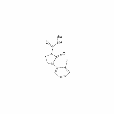 CC(C)(C)NC(=O)C1CCN(c2ccccc2F)C1=O